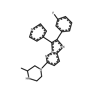 CC1CN(c2ccc3nc(-c4cccc(F)c4)c(-c4ccncc4)n3n2)CCN1